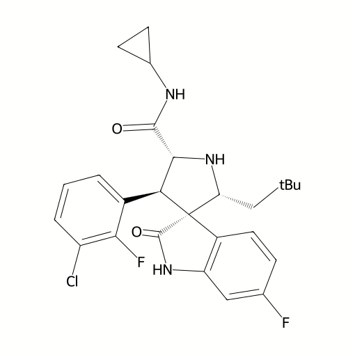 CC(C)(C)C[C@H]1N[C@@H](C(=O)NC2CC2)[C@H](c2cccc(Cl)c2F)[C@@]12C(=O)Nc1cc(F)ccc12